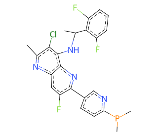 Cc1nc2cc(F)c(-c3ccc(P(C)C)nc3)nc2c(NC(C)c2c(F)cccc2F)c1Cl